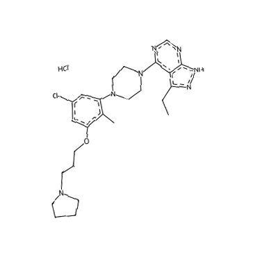 CCc1n[nH]c2ncnc(N3CCN(c4cc(Cl)cc(OCCCN5CCCC5)c4C)CC3)c12.Cl